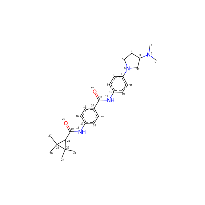 CN(C)C1CCN(c2ccc(NC(=O)c3ccc(NC(=O)C4C(C)(C)C4(C)C)cc3)cc2)C1